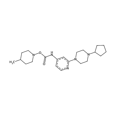 CC1CCN(OC(=O)Nc2ccnc(N3CCN(C4CCCC4)CC3)c2)CC1